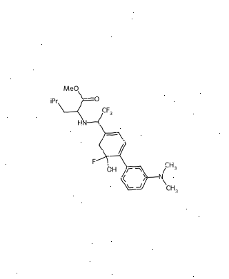 COC(=O)C(CC(C)C)NC(C1=CC=C(c2cccc(N(C)C)c2)C(O)(F)C1)C(F)(F)F